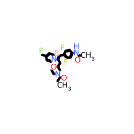 CCC(=O)N1CCOC(Cc2c(-c3c(F)cc(NC(C)=O)cc3F)bc3cc(CF)ccn23)C1